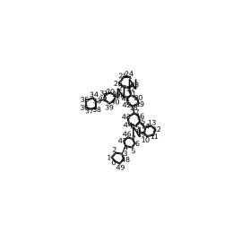 c1ccc(-c2ccc(-n3c4ccccc4c4cc(-c5ccc6c7ncccc7n(-c7ccc(-c8ccccc8)cc7)c6c5)ccc43)cc2)cc1